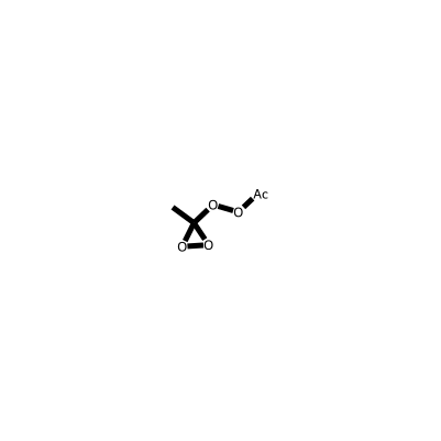 CC(=O)OOC1(C)OO1